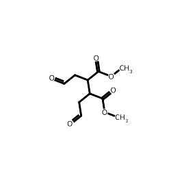 COC(=O)C(CC=O)C(CC=O)C(=O)OC